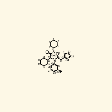 O=C(NC1CCCCC1)C(C1CCCCC1)N(C(=O)Cc1cccs1)c1cccc(F)c1